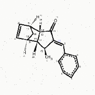 C[C@@H]1/C(=C\c2ccccc2)C(=O)[C@@H]2[C@H]1[C@H]1C=C[C@@H]2C1